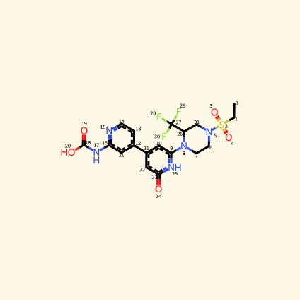 CCS(=O)(=O)N1CCN(c2cc(-c3ccnc(NC(=O)O)c3)cc(=O)[nH]2)C(C(F)(F)F)C1